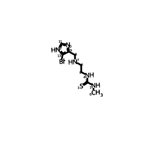 CNC(=S)NCCNCc1nc[nH]c1Br